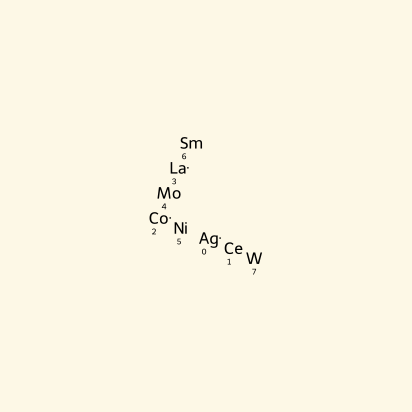 [Ag].[Ce].[Co].[La].[Mo].[Ni].[Sm].[W]